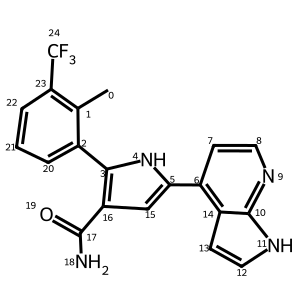 Cc1c(-c2[nH]c(-c3ccnc4[nH]ccc34)cc2C(N)=O)cccc1C(F)(F)F